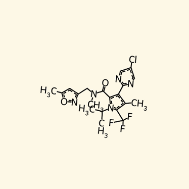 Cc1cc(CN(C)C(=O)c2c(-c3ncc(Cl)cn3)c(C)c(C(F)(F)F)n2C(C)C)no1